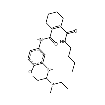 CCCCNC(=O)C1=C(C(=O)Nc2ccc(Cl)c(NC(CC)P(C)CC)c2)CCCC1